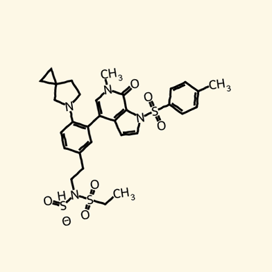 CCS(=O)(=O)N(CCc1ccc(N2CCC3(CC3)C2)c(-c2cn(C)c(=O)c3c2ccn3S(=O)(=O)c2ccc(C)cc2)c1)[SH](=O)=O